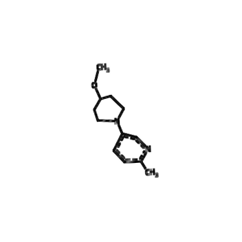 COC1CCN(c2ccc(C)nc2)CC1